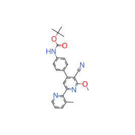 COc1nc(-c2ncccc2C)cc(-c2ccc(NC(=O)OC(C)(C)C)cc2)c1C#N